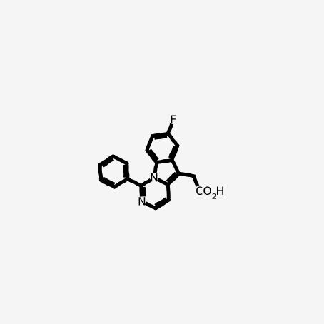 O=C(O)Cc1c2cc(F)ccc2n2c(-c3ccccc3)nccc12